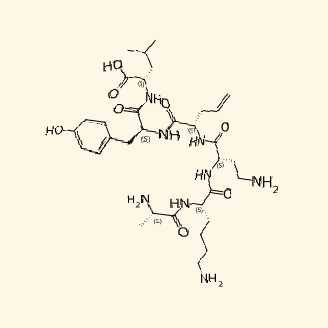 C=CC[C@H](NC(=O)[C@H](CCN)NC(=O)[C@H](CCCCN)NC(=O)[C@H](C)N)C(=O)N[C@@H](Cc1ccc(O)cc1)C(=O)N[C@@H](CC(C)C)C(=O)O